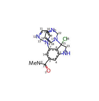 CNC(=O)c1cc2c(c(N3C=CC=NC3)c1)C(Cl)(N1C=CC=NC1)CN2